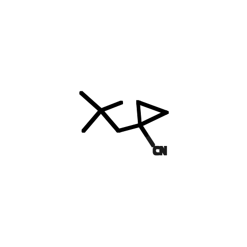 CC(C)(C)CC1(C#N)CC1